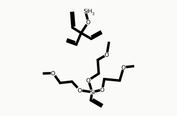 C=CC(C=C)(C=C)O[SiH3].C=C[Si](OCCOC)(OCCOC)OCCOC